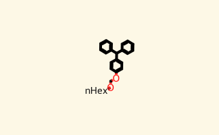 CCCCCCOCOc1ccc(C(c2ccccc2)c2ccccc2)cc1